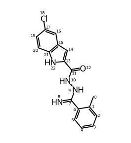 Cc1ccccc1C(=N)NNC(=O)c1cc2cc(Cl)ccc2[nH]1